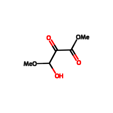 COC(=O)C(=O)C(O)OC